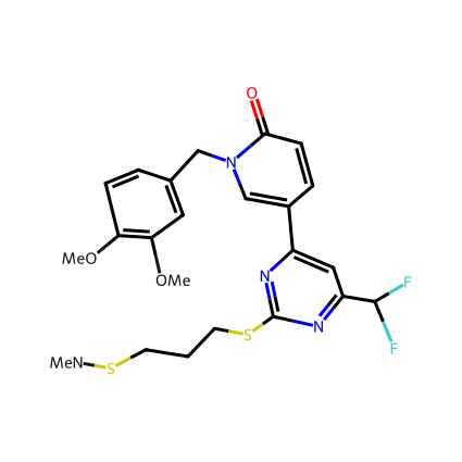 CNSCCCSc1nc(-c2ccc(=O)n(Cc3ccc(OC)c(OC)c3)c2)cc(C(F)F)n1